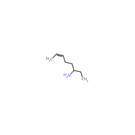 C/C=C\CCC(N)CC